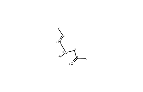 CC=NN(C)CC(C)=O